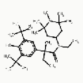 CCN(C(=O)C(C)(CC)c1cc(C(C)(C)C)c(O)c(C(C)(C)C)c1)C1CC(C)(C)N(C)C(C)(C)C1